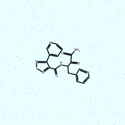 NC(=O)C(=O)C(Cc1cccnc1)NC(=O)c1nsnc1-c1cccnc1